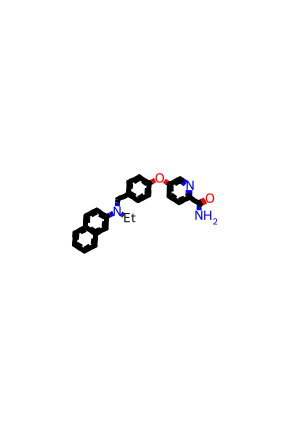 CCN(Cc1ccc(Oc2ccc(C(N)=O)nc2)cc1)c1ccc2ccccc2c1